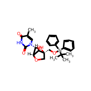 Cc1cn([C@@H]2O[C@@]3(CO[Si](c4ccccc4)(c4ccccc4)C(C)(C)C)CO[C@@H]2[C@@H]3O)c(=O)[nH]c1=O